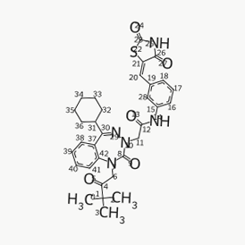 CC(C)(C)C(=O)CN1C(=O)N(CC(=O)Nc2cccc(/C=C3/SC(=O)NC3=O)c2)N=C(C2CCCCC2)c2ccccc21